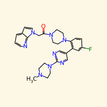 CN1CCN(c2ncc(-c3cc(F)ccc3N3CCN(C(=O)Cn4ccc5cccnc54)CC3)cn2)CC1